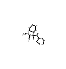 CC(C1CCCCC1)C(C)(C(=O)O[SiH3])C1CCCCC1